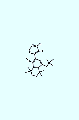 COc1c(-c2ccnc(Cl)c2F)cc(CC(C)(C)C)c2c1C(C)(C)CCC2(C)C